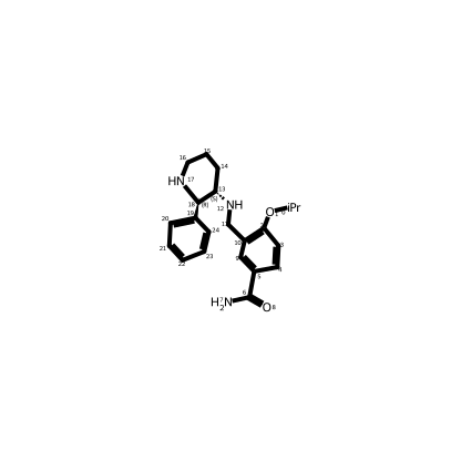 CC(C)Oc1ccc(C(N)=O)cc1CN[C@H]1CCCN[C@@H]1c1ccccc1